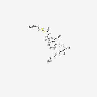 C=CCC1C(CCCC(CC)C(C)CCCCCC(C)C)C(C)CCC1C(C)(C)CCC(CC)SSCCNC